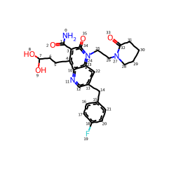 NC(=O)c1c(CCC(O)O)c2ncc(Cc3ccc(F)cc3)cc2n(CCN2CCCCC2=O)c1=O